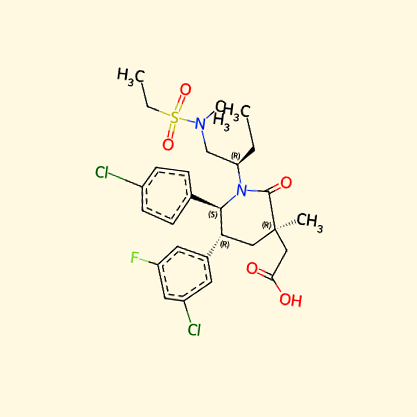 CC[C@H](CN(C)S(=O)(=O)CC)N1C(=O)[C@@](C)(CC(=O)O)C[C@H](c2cc(F)cc(Cl)c2)[C@H]1c1ccc(Cl)cc1